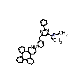 C=C/C=C(\C=C)c1cc(CC2=C[C@@H](C3C=CC4=C(CN3)c3ccccc3-c3ccccc3C3=CCCC=C34)CC=C2)nc(-c2ccccc2)n1